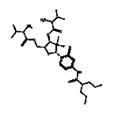 CCCC(CCC)C(=O)Nc1ccn([C@@H]2O[C@H](COC(=O)C(N)C(C)C)[C@@H](OC(=O)C(N)C(C)C)C2(F)F)c(=O)n1